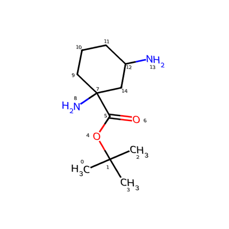 CC(C)(C)OC(=O)C1(N)CCCC(N)C1